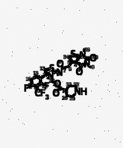 Cn1c(=O)c2c(CC(=O)/N=c3\scc(-c4ccc(F)c(C(F)(F)F)c4F)n3COC(=O)C3CCNCC3)csc2n(C)c1=O